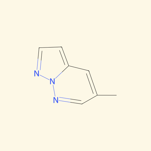 Cc1cnn2nccc2c1